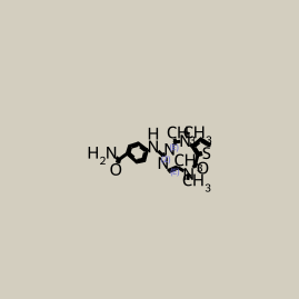 C\C1=C/N=C(Nc2ccc(C(N)=O)cc2)\N=C(/C)N(C)c2ccsc2C(=O)N1C